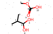 CC(C)C(O)O.COC(=O)O